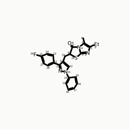 CCc1nc2n(c1C)C(=O)C(Cc1cn(-c3ccccc3)nc1-c1ccc(F)cc1)S2